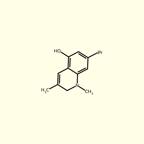 CC1=Cc2c(O)cc(C(C)C)cc2N(C)C1